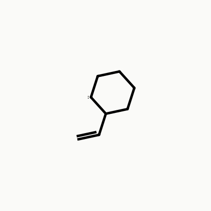 C=CC1[C]CCCC1